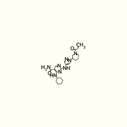 C=CC(=O)N1CCCC(n2cc(Nc3ncc(C(N)=O)c(NC4CCCCC4)n3)cn2)C1